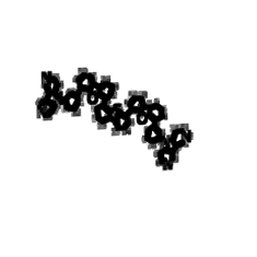 c1cc(-c2cccc3c2oc2c(-c4cccc5c4sc4c(-c6cccc7c6oc6c(-c8cccc(-n9c%10ccncc%10c%10cnccc%109)c8)cccc67)cccc45)cccc23)cc(-n2c3ccncc3c3cnccc32)c1